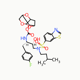 CC(C)CCN(C[C@@H](O)[C@H](Cc1ccc(F)cc1)NC(=O)OC1C2COC3OC1CC3O2)S(=O)(=O)c1ccc2ncsc2c1